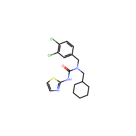 O=C(Nc1nccs1)N(Cc1ccc(Cl)c(Cl)c1)CC1CCCCC1